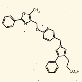 Cc1oc(-c2ccccc2)nc1COc1ccc(Cn2cc(CCC(=O)O)c(-c3ccccc3)c2)cn1